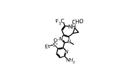 CC[S+]([O-])c1ccc(N)nc1-c1nc(/C=C(\NC=O)C(F)(F)F)c(C2CC2)n1C